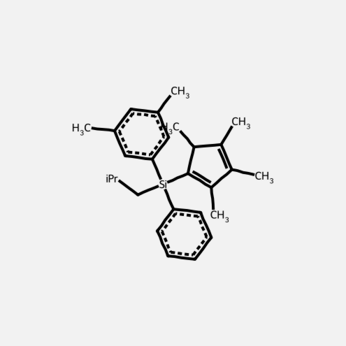 CC1=C(C)C(C)C([Si](CC(C)C)(c2ccccc2)c2cc(C)cc(C)c2)=C1C